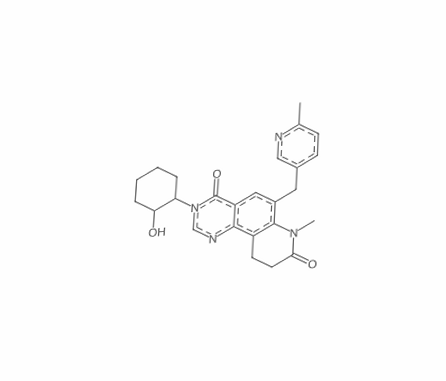 Cc1ccc(Cc2cc3c(=O)n(C4CCCCC4O)cnc3c3c2N(C)C(=O)CC3)cn1